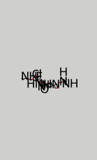 C=C[C@@H](N)CCCc1cc(Cl)c(F)c(-c2cc3cn(-c4ccc([C@@H]5CCC[C@@H](CCNC(C)=N)N5)cc4)c(=O)nc3[nH]2)c1